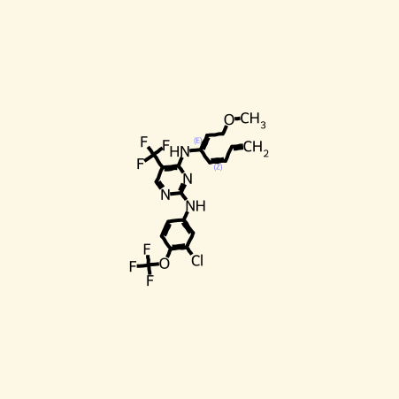 C=C/C=C\C(=C/COC)Nc1nc(Nc2ccc(OC(F)(F)F)c(Cl)c2)ncc1C(F)(F)F